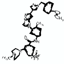 COc1ccc(Cn2cc(-c3cc4n(-c5cc(NC(=O)c6cc(N7CCN(C)CC7)cc(S(F)(F)(F)(F)F)c6)ccc5C)ccn4n3)cn2)cc1